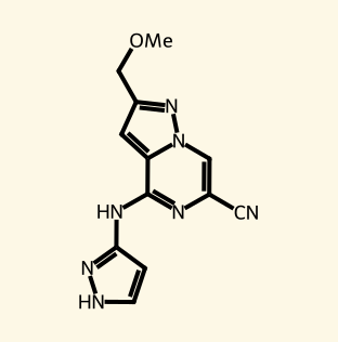 COCc1cc2c(Nc3cc[nH]n3)nc(C#N)cn2n1